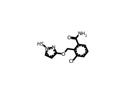 NC(=O)c1cccc(Cl)c1COc1ccn(S)n1